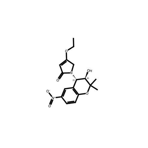 CCOC1=CC(=O)N([C@H]2c3cc([N+](=O)[O-])ccc3OC(C)(C)[C@@H]2O)C1